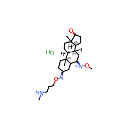 CNCCCON=C1CC[C@@]2(C)C(C1)/C(=N/OC)C[C@@H]1[C@@H]2CC[C@]2(C)C(=O)CC[C@@H]12.Cl